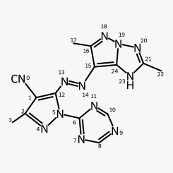 [C-]#[N+]c1c(C)nn(-c2ncncn2)c1/N=N/c1c(C)nn2nc(C)[nH]c12